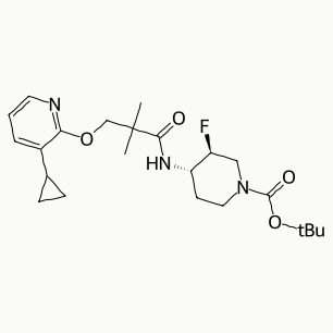 CC(C)(C)OC(=O)N1CC[C@H](NC(=O)C(C)(C)COc2ncccc2C2CC2)[C@@H](F)C1